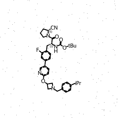 CC(C)c1ccc(CN2CC(Oc3ccc(-c4ccc(C[C@H](NC(=O)OC(C)(C)C)C(=O)N5CCC[C@H]5C#N)c(F)c4)cn3)C2)cc1